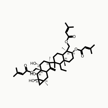 C=C1C2C[C@@]3(C)C[C@]3(O)[C@H](O)[C@]2(COC(=O)C=C(C)C)[C@H](O)C[C@@]1(C)C1(C)CCC2[C@](C)(CC[C@H](OC(=O)C=C(C)C)[C@]2(C)COC(=O)C=C(C)C)C1CC